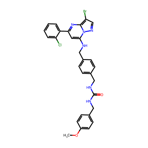 COc1ccc(CNC(=O)NCc2ccc(CNc3cc(-c4ccccc4Cl)nc4c(Br)cnn34)cc2)cc1